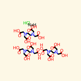 Cl.O=C(O)CN(CCN(CC(=O)O)CC(=O)O)CC(=O)O.O=C(O)CN(CCN(CC(=O)O)CC(=O)O)CC(=O)O.O=C(O)CN(CCN(CC(=O)O)CC(=O)O)CC(=O)O.[NaH]